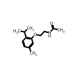 CC(=O)NCCOc1cc(C)ccc1C(C)C